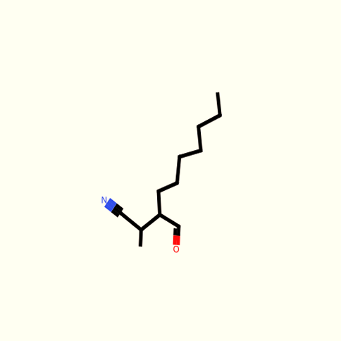 CCCCCCCC(C=O)C(C)C#N